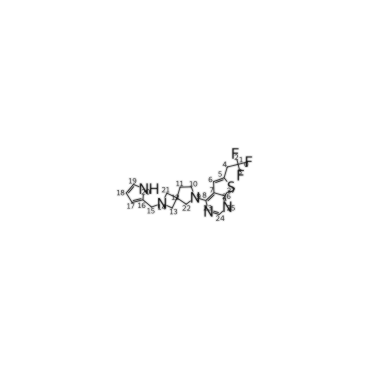 FC(F)(F)Cc1cc2c(N3CCC4(CN(Cc5ccc[nH]5)C4)C3)ncnc2s1